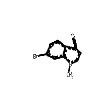 Cn1ccc(=O)c2ccc(Br)cc21